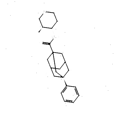 C[C@@]12CC3CC(C(=O)N[C@H]4CCNC[C@@H]4F)(C1)C[C@](c1ccccc1)(C3)C2